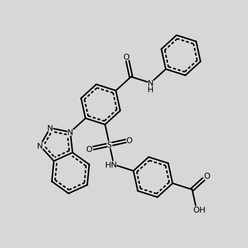 O=C(O)c1ccc(NS(=O)(=O)c2cc(C(=O)Nc3ccccc3)ccc2-n2nnc3ccccc32)cc1